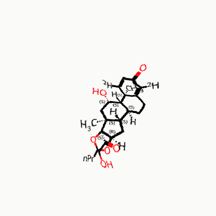 [2H]C1=CC(=O)C([2H])=C2CC[C@@H]3[C@H]([C@@H](O)C[C@@]4(C)[C@H]3C[C@H]3OC(CCC)O[C@]34C(=O)CO)[C@@]12C